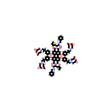 CC(C)(CN(CC1CO1)CC1CO1)c1ccc(Oc2cc3c4c(cc(Oc5ccc(C(C)(C)CN(CC6CO6)CC6CO6)cc5)c5c6c(Oc7ccc(C(C)(C)CN(CC8CO8)CC8CO8)cc7)cc7c8c(cc(Oc9ccc(C(C)(C)CN(CC%10CO%10)CC%10CO%10)cc9)c(c2c45)c86)C(=O)N(C(C(=O)NCc2ccccc2)c2cccs2)C7=O)C(=O)N(C(C(=O)NCc2ccccc2)c2cccs2)C3=O)cc1